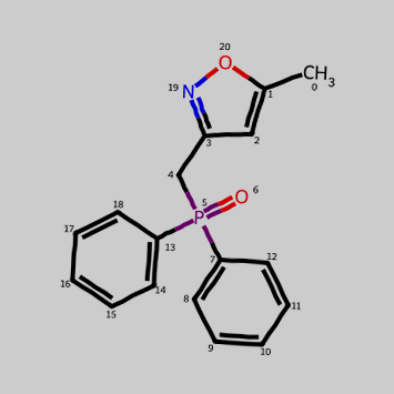 Cc1cc(CP(=O)(c2ccccc2)c2ccccc2)no1